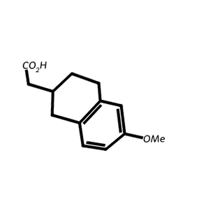 COc1ccc2c(c1)CCC(CC(=O)O)C2